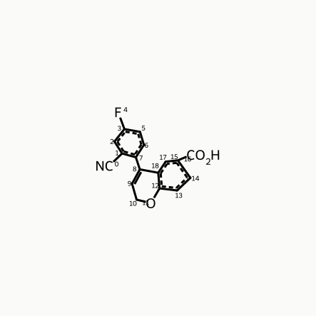 N#Cc1cc(F)ccc1C1=CCOc2ccc(C(=O)O)cc21